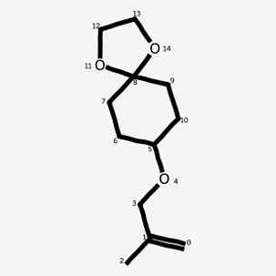 C=C(C)COC1CCC2(CC1)OCCO2